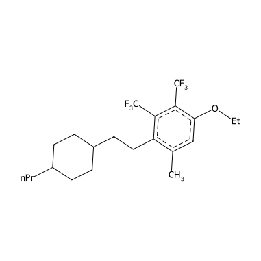 CCCC1CCC(CCc2c(C)cc(OCC)c(C(F)(F)F)c2C(F)(F)F)CC1